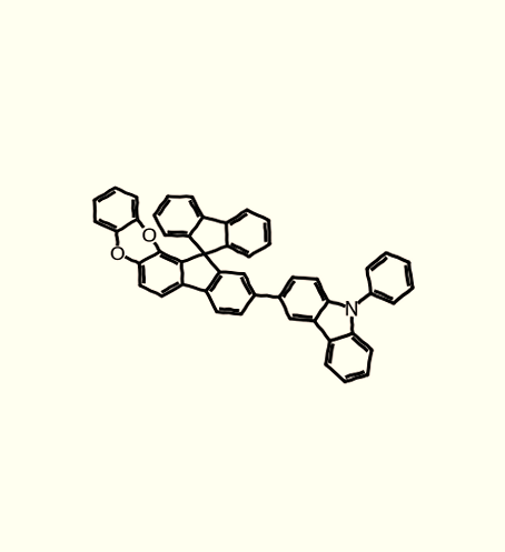 c1ccc(-n2c3ccccc3c3cc(-c4ccc5c(c4)C4(c6ccccc6-c6ccccc64)c4c-5ccc5c4Oc4ccccc4O5)ccc32)cc1